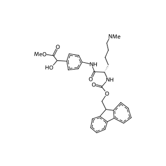 CNCCCC[C@H](NC(=O)OCC1c2ccccc2-c2ccccc21)C(=O)Nc1ccc(C(O)C(=O)OC)cc1